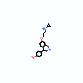 COc1ccc(C2CN(C)Cc3cc(OCCCNC4CC4)ccc32)cc1